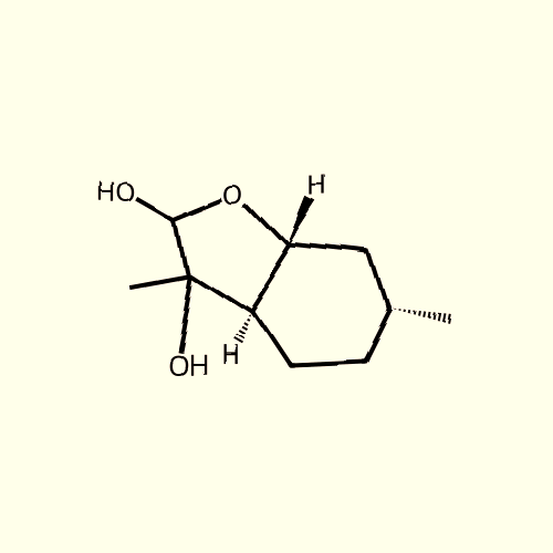 C[C@@H]1CC[C@@H]2[C@@H](C1)OC(O)C2(C)O